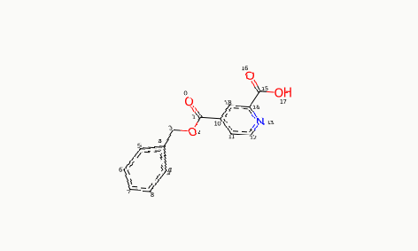 O=C(OCc1ccccc1)c1ccnc(C(=O)O)c1